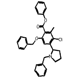 Cc1c(Cl)c(C2CCCN2Cc2ccccc2)cc(OCc2ccccc2)c1C(=O)Oc1ccccc1